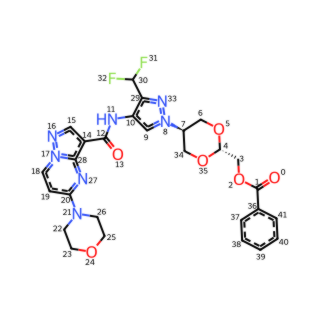 O=C(OC[C@H]1OC[C@H](n2cc(NC(=O)c3cnn4ccc(N5CCOCC5)nc34)c(C(F)F)n2)CO1)c1ccccc1